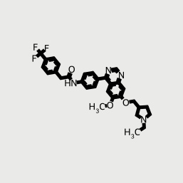 CCN1CCC(COc2cc3ncnc(-c4ccc(NC(=O)Cc5ccc(C(F)(F)F)cc5)cc4)c3cc2OC)C1